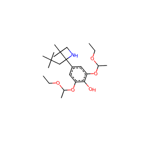 CCOC(C)Oc1cc(C2(CC(C)(C)C)NCC2(C)C)cc(OC(C)OCC)c1O